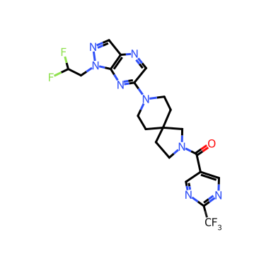 O=C(c1cnc(C(F)(F)F)nc1)N1CCC2(CCN(c3cnc4cnn(CC(F)F)c4n3)CC2)C1